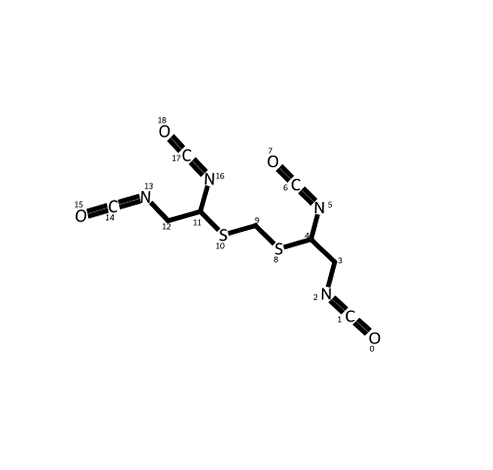 O=C=NCC(N=C=O)SCSC(CN=C=O)N=C=O